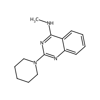 CNc1nc(N2CCCCC2)nc2ccccc12